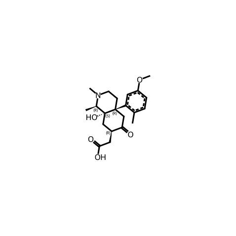 COc1ccc(C)c([C@]23CCN(C)[C@H](C)[C@]2(O)C[C@H](CC(=O)O)C(=O)C3)c1